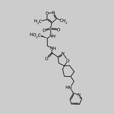 Cc1noc(C)c1S(=O)(=O)N[C@@H](CNC(=O)C1=NOC2(CCC(CNc3ccccn3)CC2)C1)C(=O)O